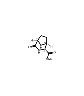 COC(=O)[C@H]1NC(=O)[C@H]2CC[C@@H]1N2